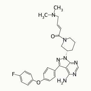 CN(C)CC=CC(=O)N1CCC[C@H](n2nc(-c3ccc(Oc4ccc(F)cc4)cc3)c3c(N)ncnc32)C1